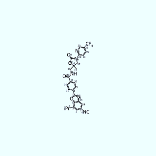 [C-]#[N+]c1cc(C(C)C)c2oc(-c3ccc(C(=O)NCC4(C)CN(c5ccc(C(F)(F)F)cn5)C(=O)O4)cc3)nc2c1